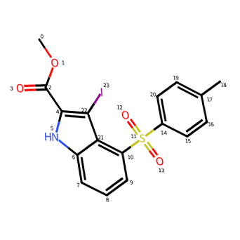 COC(=O)c1[nH]c2cccc(S(=O)(=O)c3ccc(C)cc3)c2c1I